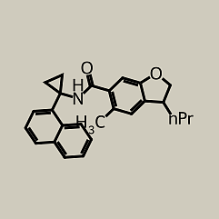 CCCC1COc2cc(C(=O)NC3(c4cccc5ccccc45)CC3)c(C)cc21